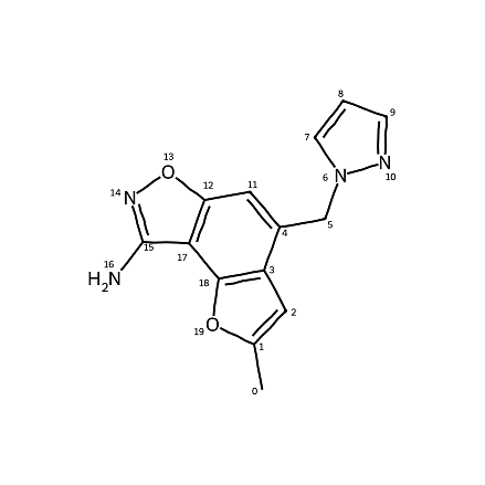 Cc1cc2c(Cn3cccn3)cc3onc(N)c3c2o1